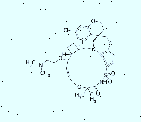 CN(C)CCO[C@H]1C=CCOC(C)(C)C(=O)NS(=O)(=O)c2ccc3c(c2)N(C[C@@H]2CC[C@H]21)C[C@@]1(CCOc2cc(Cl)ccc21)CO3